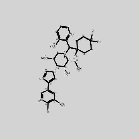 CO[C@H]1C[SH](C(c2ncccc2C)C2(O)CCC(F)(F)CC2)[C@H](CO)[C@H](O)[C@@H]1n1cc(-c2cnc(F)c(C)c2)nn1